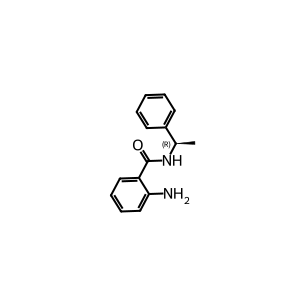 C[C@@H](NC(=O)c1ccccc1N)c1ccccc1